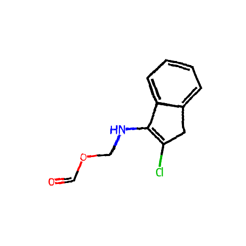 O=COCNC1=C(Cl)Cc2ccccc21